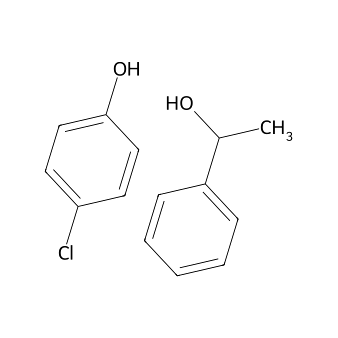 CC(O)c1ccccc1.Oc1ccc(Cl)cc1